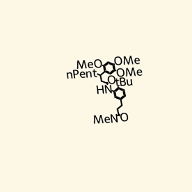 CCCCCC(CC(=O)Nc1cc(CCC(=O)NC)ccc1C(C)(C)C)c1cc(OC)c(OC)cc1OC